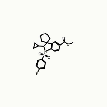 COC(=O)c1ccc2c(c1)C1(CCSCC1)C(C1CC1)N2S(=O)(=O)c1ccc(F)cc1